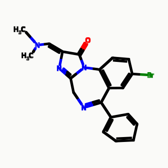 CN(C)/C=C1\N=C2CN=C(c3ccccc3)c3cc(Br)ccc3N2C1=O